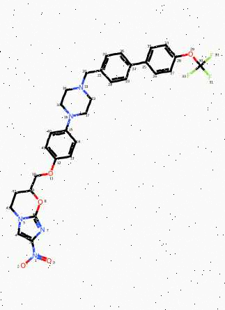 O=[N+]([O-])c1cn2c(n1)OC(COc1ccc(N3CCN(Cc4ccc(-c5ccc(OC(F)(F)F)cc5)cc4)CC3)cc1)CC2